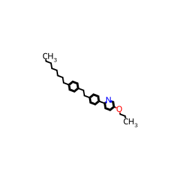 CCCCCCCCc1ccc(CCc2ccc(-c3ccc(OCCC)cn3)cc2)cc1